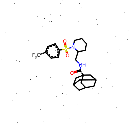 O=C(NCC1CCCCN1S(=O)(=O)c1ccc(C(F)(F)F)cc1)C12CC3CC(CC(C3)C1)C2